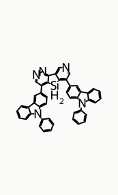 c1ccc(-n2c3ccccc3c3cc(-c4cncc5c4[SiH2]c4c(-c6ccc7c(c6)c6ccccc6n7-c6ccccc6)cnnc4-5)ccc32)cc1